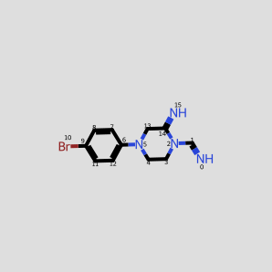 N=CN1CCN(c2ccc(Br)cc2)CC1=N